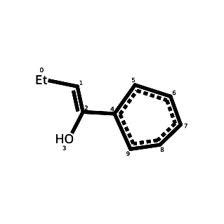 CCC=C(O)c1ccccc1